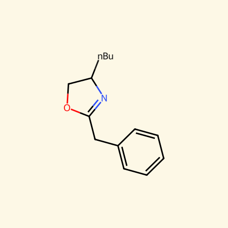 CCCCC1COC(Cc2ccccc2)=N1